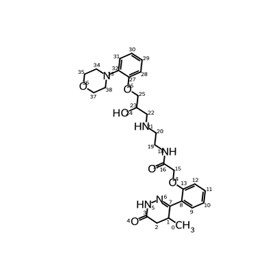 CC1CC(=O)NN=C1c1ccccc1OCC(=O)NCCNCC(O)COc1ccccc1N1CCOCC1